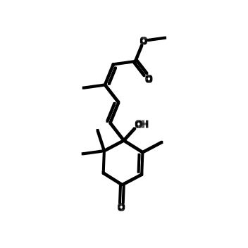 COC(=O)/C=C(/C)C=CC1(O)C(C)=CC(=O)CC1(C)C